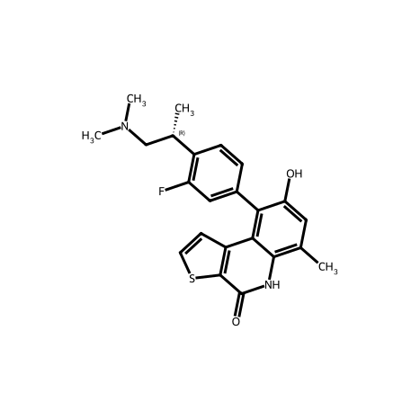 Cc1cc(O)c(-c2ccc([C@@H](C)CN(C)C)c(F)c2)c2c1[nH]c(=O)c1sccc12